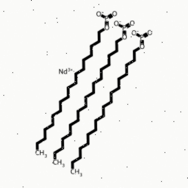 CCCCCCCCCCCCCCCCCCO[PH](=O)[O-].CCCCCCCCCCCCCCCCCCO[PH](=O)[O-].CCCCCCCCCCCCCCCCCCO[PH](=O)[O-].[Nd+3]